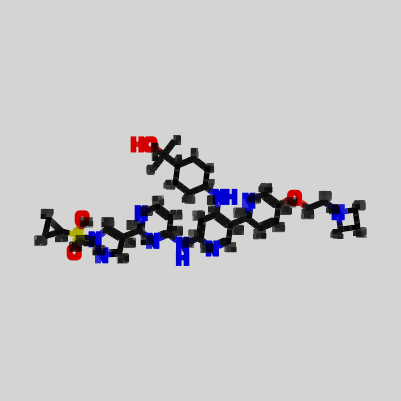 CC(C)(O)C1CCC(Nc2cc(Nc3ccnc(-c4cnn(S(=O)(=O)C5CC5)c4)n3)ncc2-c2ccc(OCCN3CCC3)cn2)CC1